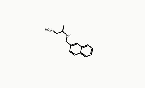 CC(CC(=O)O)NCc1ccc2ccccc2c1